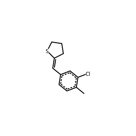 Cc1ccc(/C=C2\CCCS2)cc1Cl